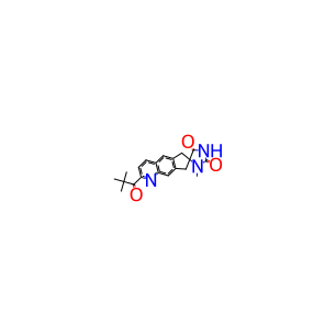 CN1C(=O)NC(=O)C12Cc1cc3ccc(C(=O)C(C)(C)C)nc3cc1C2